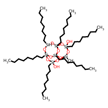 CCCCCCCC[SiH]1O[Si]2(CCCCCCCC)O[Si](O)(CCCCCCCC)O[Si]3(C)O[Si](O)(CCCCCCCC)O[Si](CCCCCCCC)(O1)O[Si](CCCCCCCC)(O3)O2